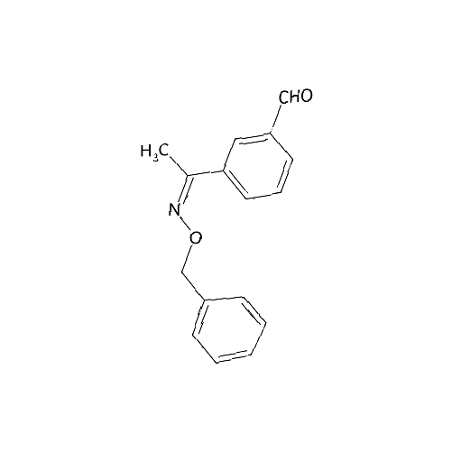 CC(=NOCc1ccccc1)c1cccc(C=O)c1